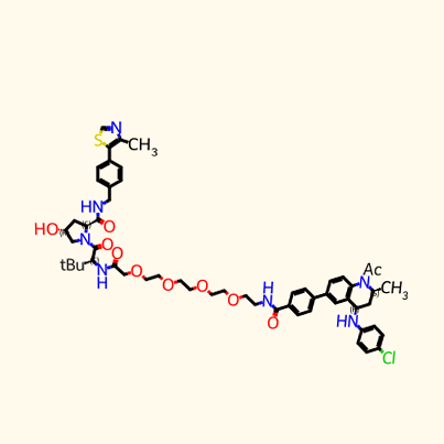 CC(=O)N1c2ccc(-c3ccc(C(=O)NCCOCCOCCOCCOCC(=O)N[C@H](C(=O)N4C[C@H](O)C[C@H]4C(=O)NCc4ccc(-c5scnc5C)cc4)C(C)(C)C)cc3)cc2[C@H](Nc2ccc(Cl)cc2)C[C@@H]1C